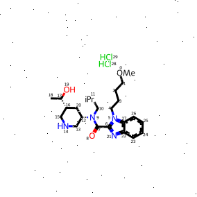 COCCCCn1c(C(=O)N(CC(C)C)[C@@H]2CNC[C@H](C(C)O)C2)nc2ccccc21.Cl.Cl